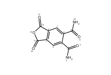 NC(=O)c1cc2c(cc1C(N)=O)C(=O)OC2=O